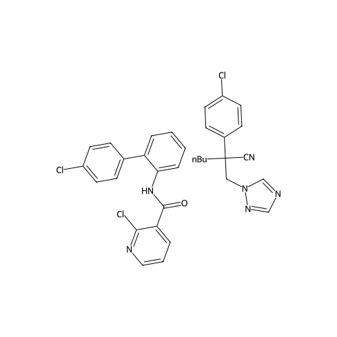 CCCCC(C#N)(Cn1cncn1)c1ccc(Cl)cc1.O=C(Nc1ccccc1-c1ccc(Cl)cc1)c1cccnc1Cl